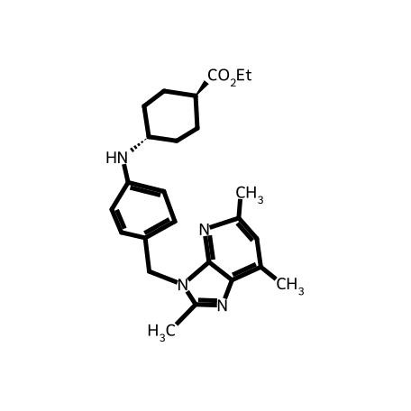 CCOC(=O)[C@H]1CC[C@H](Nc2ccc(Cn3c(C)nc4c(C)cc(C)nc43)cc2)CC1